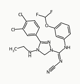 CCNN1CN(/C(=N\C#N)Nc2cccc(OC(F)F)c2)N=C1c1ccc(Cl)c(Cl)c1